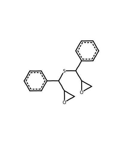 c1ccc(C(SC(c2ccccc2)C2CO2)C2CO2)cc1